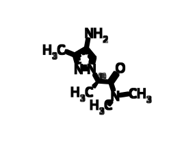 Cc1nn([C@H](C)C(=O)N(C)C)cc1N